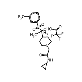 CC(C)(C1CCN(CC(=O)NC2CC2)CC1)S(=O)(=O)c1cccc(C(F)(F)F)c1.O=C(O)C(F)(F)F